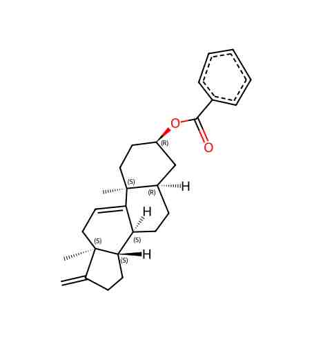 C=C1CC[C@H]2[C@@H]3CC[C@@H]4C[C@H](OC(=O)c5ccccc5)CC[C@]4(C)C3=CC[C@]12C